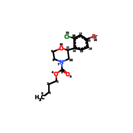 CCCCOC(=O)N1CCOC(c2ccc(Br)cc2Cl)C1